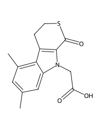 Cc1cc(C)c2c3c(n(CC(=O)O)c2c1)C(=O)SCC3